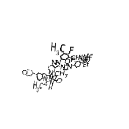 CCP(=O)(CC)c1ccc(-n2ccn(-c3c4c(nn3-c3cc(C)c(F)c(C)c3)CCN(C(=O)c3cc5cc(C6CCOCC6)ccc5n3C3(c5noc(=O)[nH]5)CC3C)C4C)c2=O)c(F)c1NC